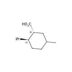 CC1CC[C@@H](C(C)C)[C@H](C(=O)O)C1